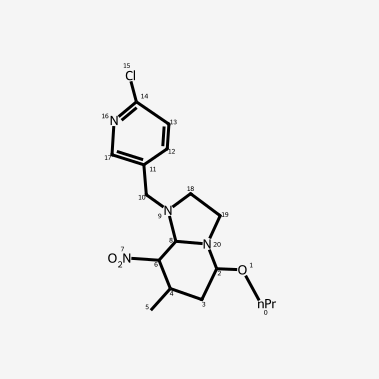 CCCOC1CC(C)C([N+](=O)[O-])C2N(Cc3ccc(Cl)nc3)CCN12